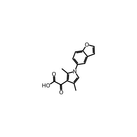 Cc1cn(-c2ccc3occc3c2)c(C)c1C(=O)C(=O)O